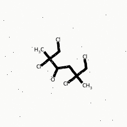 CC(Cl)(CCl)CC([O])C(C)(Cl)CCl